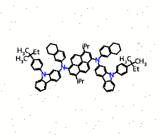 CCC(C)(C)c1ccc(-n2c3ccccc3c3ccc(N(c4ccc5c(c4)CCCC5)c4cc(C(C)C)c5ccc6c(N(c7ccc8c(c7)CCCC8)c7ccc8c9ccccc9n(-c9ccc(C(C)(C)CC)cc9)c8c7)cc(C(C)C)c7ccc4c5c76)cc32)cc1